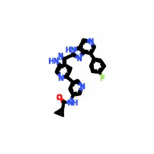 O=C(Nc1cncc(-c2cc3c(-c4nc5c(-c6ccc(F)cc6)cncc5[nH]4)n[nH]c3cn2)c1)C1CC1